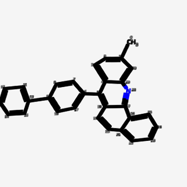 Cc1ccc2c(-c3ccc(-c4ccccc4)cc3)c3ccc4ccccc4c3nc2c1